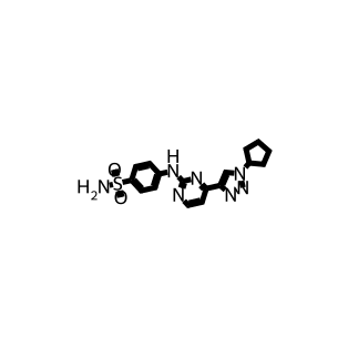 NS(=O)(=O)c1ccc(Nc2nccc(-c3cn(C4CCCC4)nn3)n2)cc1